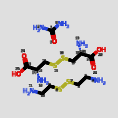 NC(N)=O.NCCSSCCN.N[C@@H](CSSC[C@H](N)C(=O)O)C(=O)O